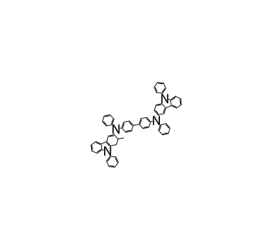 CC1Cc2c(c3ccccc3n2-c2ccccc2)C=C1N(c1ccccc1)c1ccc(-c2ccc(N(c3ccccc3)c3ccc4c(c3)c3ccccc3n4-c3ccccc3)cc2)cc1